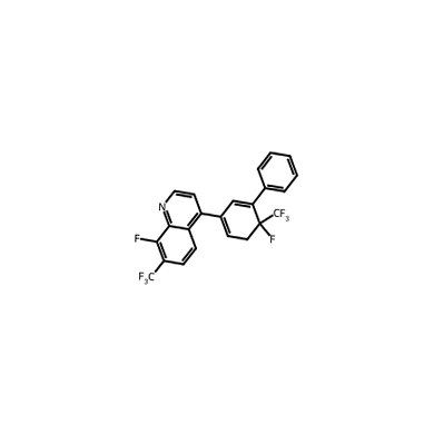 Fc1c(C(F)(F)F)ccc2c(C3=CCC(F)(C(F)(F)F)C(c4ccccc4)=C3)ccnc12